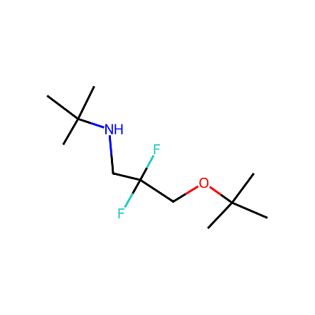 CC(C)(C)NCC(F)(F)COC(C)(C)C